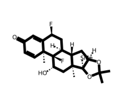 CS[C@@]12OC(C)(C)O[C@@H]1C[C@H]1[C@@H]3C[C@H](F)C4=CC(=O)C=C[C@]4(C)[C@@]3(F)[C@@H](O)C[C@@]12C